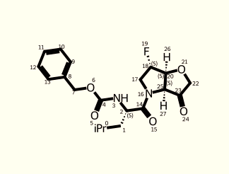 CC(C)C[C@H](NC(=O)OCc1ccccc1)C(=O)N1C[C@H](F)[C@H]2OCC(=O)[C@H]21